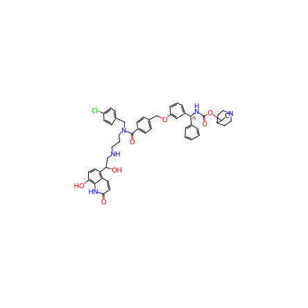 O=C(N[C@@H](c1ccccc1)c1cccc(OCc2ccc(C(=O)N(CCCNCC(O)c3ccc(O)c4[nH]c(=O)ccc34)Cc3ccc(Cl)cc3)cc2)c1)OC1CN2CCC1CC2